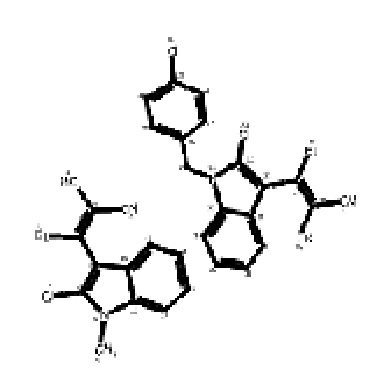 CCC(=C(C#N)C#N)c1c(Cl)n(C)c2ccccc12.CCC(=C(C#N)C#N)c1c(Cl)n(Cc2ccc(Cl)cc2)c2ccccc12